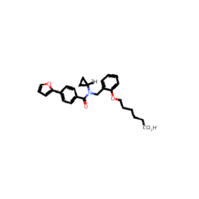 [2H]C1(N(Cc2ccccc2OCCCCCC(=O)O)C(=O)c2ccc(-c3ccco3)cc2)CC1